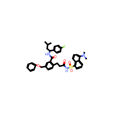 CC(C)CC(NC(=O)c1cc(COc2ccccc2)ccc1CCC(=O)NS(=O)(=O)c1cccc2c(N(C)C)cccc12)c1ccc(F)cc1